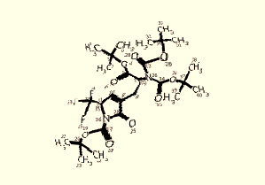 CC(C)(C)OC(=O)[C@H](CC1=C[C@H](C(F)(F)F)N(C(=O)OC(C)(C)C)C1=O)N(C(=O)OC(C)(C)C)C(=O)OC(C)(C)C